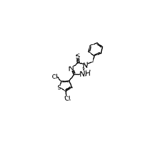 S=c1nc(-c2cc(Cl)sc2Cl)[nH]n1Cc1ccccc1